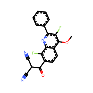 COc1c(F)c(-c2ccccc2)nc2c(F)c(C(=O)C(C#N)C#N)ccc12